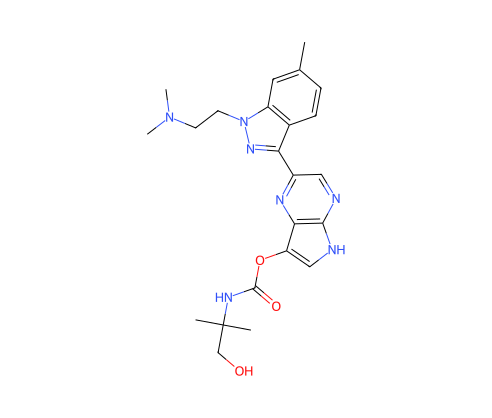 Cc1ccc2c(-c3cnc4[nH]cc(OC(=O)NC(C)(C)CO)c4n3)nn(CCN(C)C)c2c1